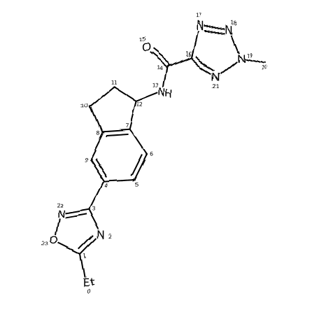 CCc1nc(-c2ccc3c(c2)CCC3NC(=O)c2nnn(C)n2)no1